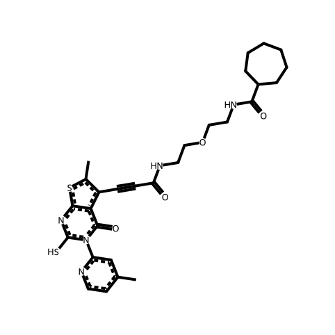 Cc1ccnc(-n2c(S)nc3sc(C)c(C#CC(=O)NCCOCCNC(=O)C4CCCCCC4)c3c2=O)c1